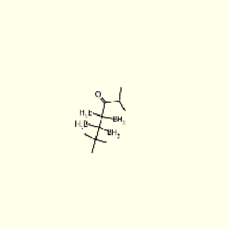 BC(B)(C(=O)C(C)C)C(B)(B)C(C)(C)C